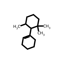 CC1CCCC(C)(C)[C]1C1=CCCCC1